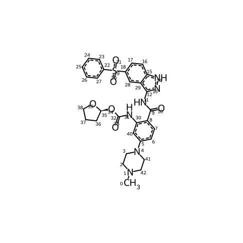 CN1CCN(c2ccc(C(=O)Nc3n[nH]c4ccc(S(=O)(=O)c5ccccc5)cc34)c(NC(=O)O[C@H]3CCCO3)c2)CC1